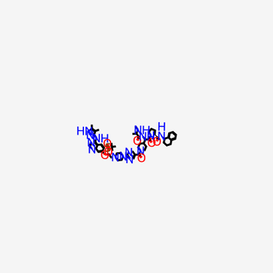 CNC(C)C(=O)NC(C(=O)N1CCC[C@H]1C(=O)N[C@@H]1CCCc2ccccc21)C1CCN(C(=O)c2cnc(N3CCN(CCOc4cc5ncnc(Nc6n[nH]c(C)c6C)c5cc4S(=O)(=O)C(C)(C)C)CC3)nc2)CC1